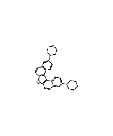 c1cc2c(ccc3oc4ccc5cc(C6CCCCC6)ccc5c4c32)cc1C1CCCCC1